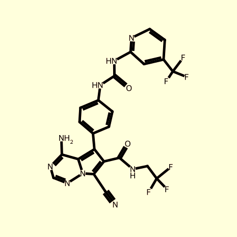 N#Cc1c(C(=O)NCC(F)(F)F)c(-c2ccc(NC(=O)Nc3cc(C(F)(F)F)ccn3)cc2)c2c(N)ncnn12